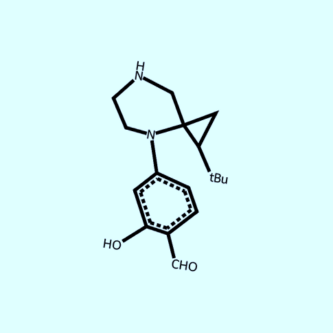 CC(C)(C)C1CC12CNCCN2c1ccc(C=O)c(O)c1